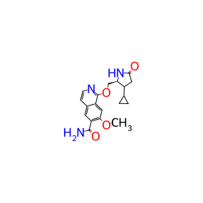 COc1cc2c(OC[C@H]3NC(=O)CC3C3CC3)nccc2cc1C(N)=O